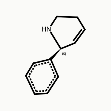 C1=C[C@@H](c2ccccc2)NCC1